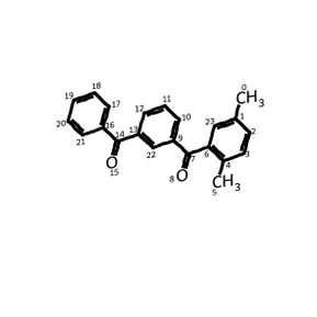 Cc1ccc(C)c(C(=O)c2cccc(C(=O)c3ccccc3)c2)c1